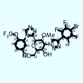 CO[C@@H]1[C@@H](n2cc(-c3c(F)c(F)c(Br)c(F)c3F)nn2)[C@@H](O)[C@@H](CO)O[C@H]1c1nncn1-c1cc(Cl)ccc1OC(F)(F)F